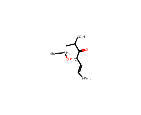 CCCCCC=C[C@H](O[SiH2]C(C)(C)C)C(=O)C(C)C(=O)O